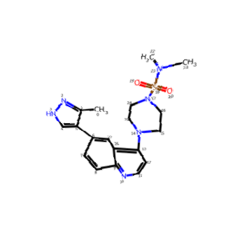 Cc1n[nH]cc1-c1ccc2nccc(N3CCN(S(=O)(=O)N(C)C)CC3)c2c1